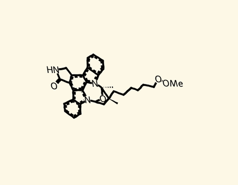 COOCCCCCC[C@]1(C)CC2O[C@@]1(C)n1c3ccccc3c3c4c(c5c6ccccc6n2c5c31)C(=O)NC4